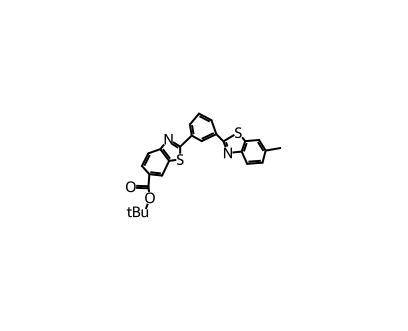 Cc1ccc2nc(-c3cccc(-c4nc5ccc(C(=O)OC(C)(C)C)cc5s4)c3)sc2c1